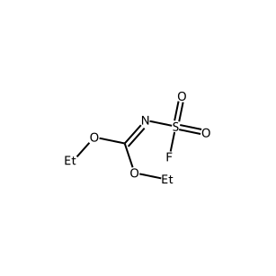 CCOC(=NS(=O)(=O)F)OCC